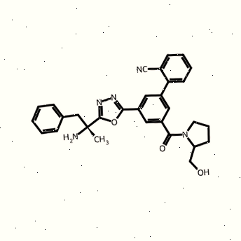 C[C@@](N)(Cc1ccccc1)c1nnc(-c2cc(C(=O)N3CCCC3CO)cc(-c3ccccc3C#N)c2)o1